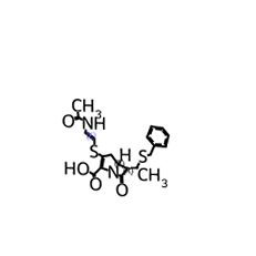 CC(=O)N/C=C/SC1=C(C(=O)O)N2C(=O)[C@H](C(C)SCc3ccccc3)[C@H]2C1